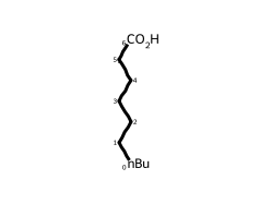 CCCCCCCC[CH]C(=O)O